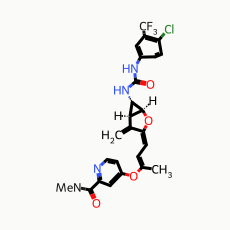 C=C1/C(=C\C=C(/C)Oc2ccnc(C(=O)NC)c2)O[C@@H]2[C@@H](NC(=O)Nc3ccc(Cl)c(C(F)(F)F)c3)[C@H]12